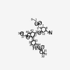 CCOC(=O)Cc1ccc(C#N)cc1OCc1cc(-c2cccc(CNC(=O)OC(C)(C)C)c2)c2oc(COC)cc2c1